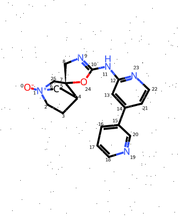 [O-][N+]12CCC(CC1)[C@]1(CN=C(Nc3cc(-c4cccnc4)ccn3)O1)C2